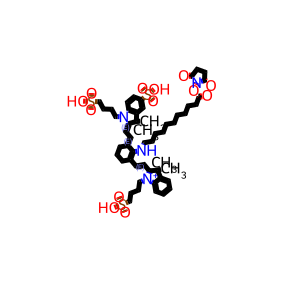 CC1(C)C(/C=C/C2=C(NCCCCCCCCCCC(=O)ON3C(=O)CCC3=O)C(=C/C=C3/N(CCCCS(=O)(=O)O)c4ccc(S(=O)(=O)O)cc4C3(C)C)/CCC2)=[N+](CCCCS(=O)(=O)O)c2ccccc21